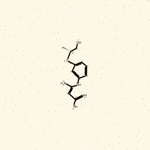 C[C@H](CO)Oc1cccc(N/C(N)=C\C(=N)C(C)(C)C)c1